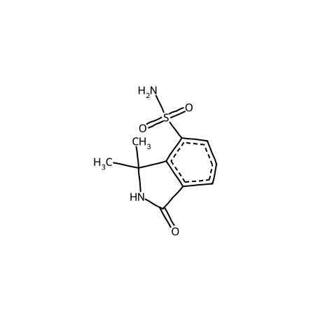 CC1(C)NC(=O)c2cccc(S(N)(=O)=O)c21